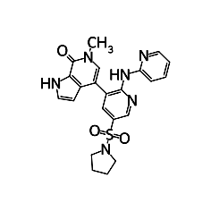 Cn1cc(-c2cc(S(=O)(=O)N3CCCC3)cnc2Nc2ccccn2)c2cc[nH]c2c1=O